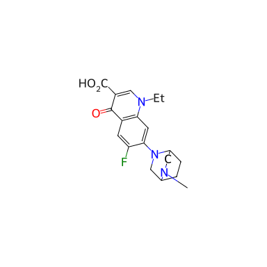 CCn1cc(C(=O)O)c(=O)c2cc(F)c(N3CC4CCC3CN4C)cc21